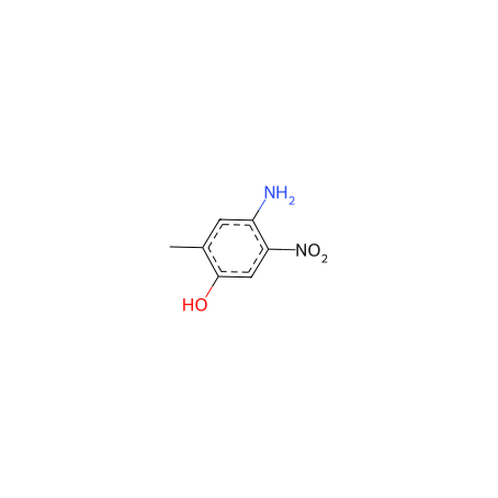 Cc1cc(N)c([N+](=O)[O-])cc1O